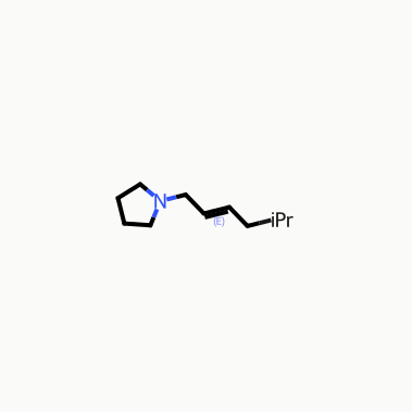 CC(C)C/C=C/CN1CCCC1